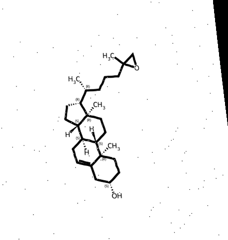 C[C@H](CCCC1(C)CO1)[C@H]1CC[C@H]2[C@@H]3CC=C4C[C@@H](O)CC[C@]4(C)[C@H]3CC[C@]12C